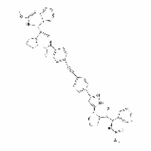 COC(=O)N[C@@H](C(=O)N1CCC[C@H]1c1cc(-c2ccc(C#Cc3ccc4[nH]c([C@@H]5CCCN5C(=O)[C@H](NC(=O)OC)c5ccccc5)nc4c3)cc2)n[nH]1)c1ccccc1